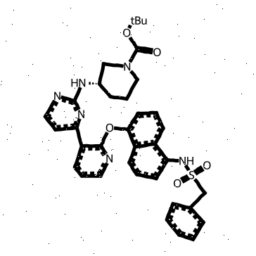 CC(C)(C)OC(=O)N1CCC[C@H](Nc2nccc(-c3cccnc3Oc3cccc4c(NS(=O)(=O)Cc5ccccc5)cccc34)n2)C1